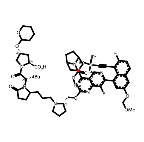 COCOc1cc(-c2ncc3c(N4CC5CCC(C4)N5C(=O)OC(C)(C)C)nc(OC[C@@H]4CCCN4CCCC4CCC(=O)N4[C@H](C(=O)N4C[C@H](OC5CCCCO5)C[C@H]4C(=O)O)C(C)(C)C)nc3c2F)c2c(C#C[Si](C(C)C)(C(C)C)C(C)C)c(F)ccc2c1